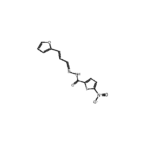 O=C(N/N=C/C=C/c1ccco1)c1ccc([N+](=O)[O-])s1